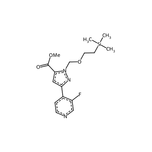 COC(=O)c1cc(-c2ccncc2F)nn1COCC[Si](C)(C)C